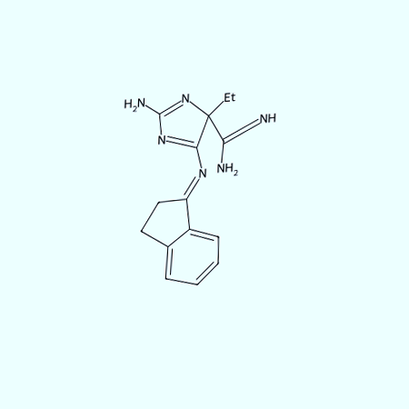 CCC1(C(=N)N)N=C(N)N=C1N=C1CCc2ccccc21